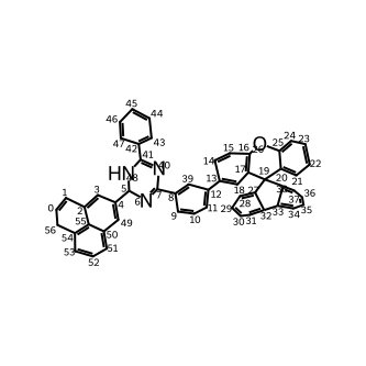 C1=Cc2cc(C3N=C(c4cccc(-c5ccc6c(c5)C5(c7ccccc7O6)c6ccccc6-c6ccccc65)c4)N=C(c4ccccc4)N3)cc3cccc(c23)C1